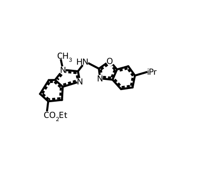 CCOC(=O)c1ccc2c(c1)nc(Nc1nc3ccc(C(C)C)cc3o1)n2C